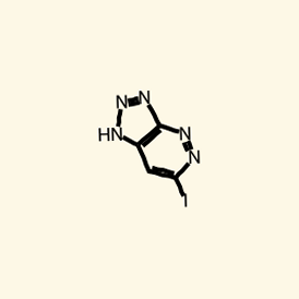 Ic1cc2[nH]nnc2nn1